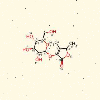 CC1=C(O[C@@H]2O[C@H](CO)[C@@H](O)[C@H](O)[C@H]2O)C(=O)OC1C